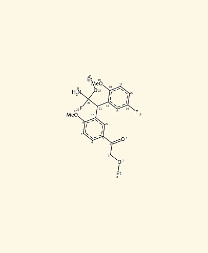 CCOCC(=O)c1ccc(OC)c(C(c2cc(F)ccc2OC)C(N)(F)OCC)c1